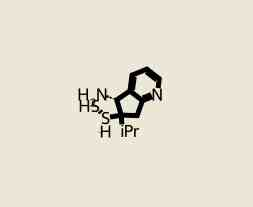 CC(C)C1([SH](C)S)Cc2ncccc2[C@H]1N